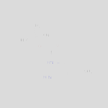 CCC(CN)CNC(=O)OC(C)(C)C